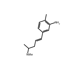 CNC(C)CC=Cc1ccc(C)c(N)c1